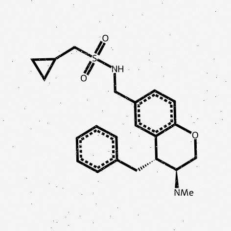 CN[C@@H]1COc2ccc(CNS(=O)(=O)CC3CC3)cc2[C@H]1Cc1ccccc1